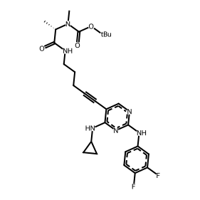 C[C@@H](C(=O)NCCCC#Cc1cnc(Nc2ccc(F)c(F)c2)nc1NC1CC1)N(C)C(=O)OC(C)(C)C